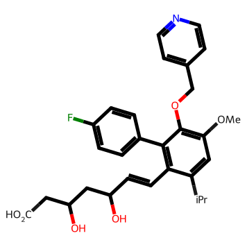 COc1cc(C(C)C)c(C=CC(O)CC(O)CC(=O)O)c(-c2ccc(F)cc2)c1OCc1ccncc1